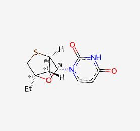 CC[C@@]12CS[C@@H]([C@H](n3ccc(=O)[nH]c3=O)O1)[C@@H]2C